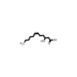 CCCCC/C=C\CCC(O)CC(=O)O